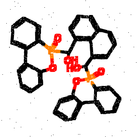 O=P1(C(O)c2cccc3cccc(C(O)P4(=O)Oc5ccccc5-c5ccccc54)c23)Oc2ccccc2-c2ccccc21